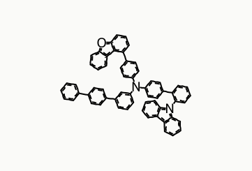 c1ccc(-c2ccc(-c3cccc(N(c4ccc(-c5ccccc5-n5c6ccccc6c6ccccc65)cc4)c4ccc(-c5cccc6oc7ccccc7c56)cc4)c3)cc2)cc1